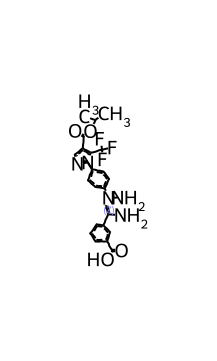 CC(C)OC(=O)c1cnn(-c2ccc(N(N)/C=C(\N)c3cccc(C(=O)O)c3)cc2)c1C(F)(F)F